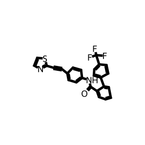 O=C(Nc1ccc(C#Cc2nccs2)cc1)c1ccccc1-c1ccc(C(F)(F)F)cc1